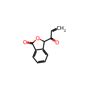 C=CC(=O)C1OC(=O)c2ccccc21